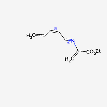 C=C/C=C\C=N\C(=C)C(=O)OCC